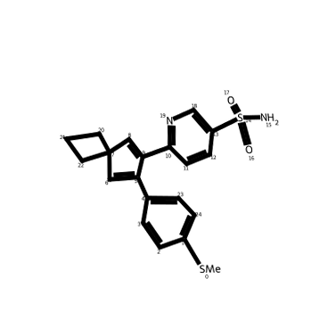 CSc1ccc(C2=CC3(C=C2c2ccc(S(N)(=O)=O)cn2)CCC3)cc1